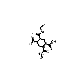 CCNC(=O)C1CC(C(=O)O)C(C(=O)NC)CC1C(=O)O